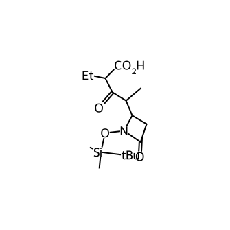 CCC(C(=O)O)C(=O)C(C)C1CC(=O)N1O[Si](C)(C)C(C)(C)C